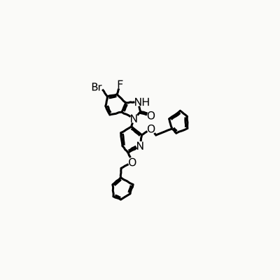 O=c1[nH]c2c(F)c(Br)ccc2n1-c1ccc(OCc2ccccc2)nc1OCc1ccccc1